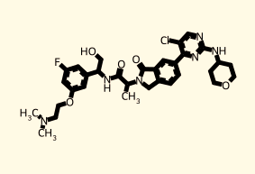 CC(C(=O)NC(CO)c1cc(F)cc(OCCN(C)C)c1)N1Cc2ccc(-c3nc(NC4CCOCC4)ncc3Cl)cc2C1=O